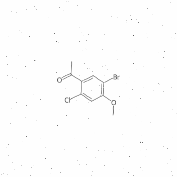 COc1cc(Cl)c(C(C)=O)cc1Br